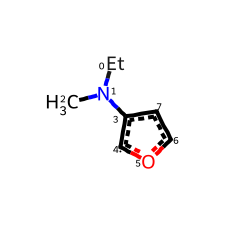 CCN(C)c1[c]occ1